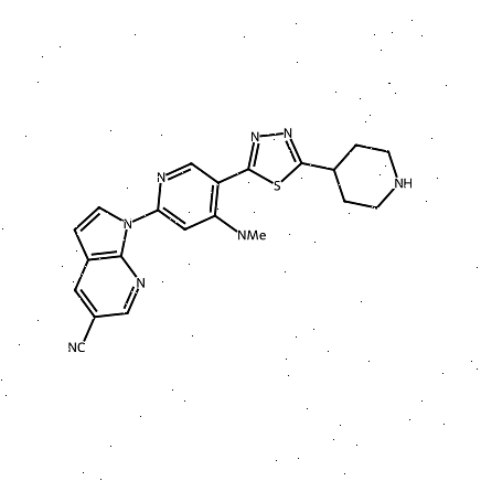 CNc1cc(-n2ccc3cc(C#N)cnc32)ncc1-c1nnc(C2CCNCC2)s1